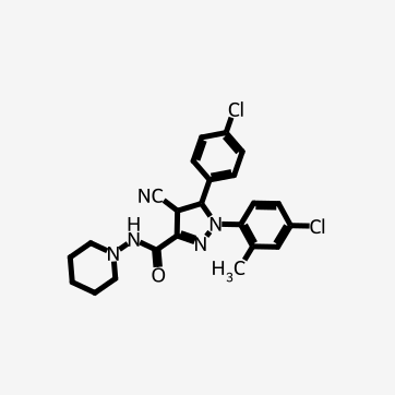 Cc1cc(Cl)ccc1N1N=C(C(=O)NN2CCCCC2)C(C#N)C1c1ccc(Cl)cc1